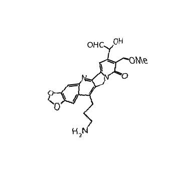 COCc1c(C(O)C=O)cc2n(c1=O)Cc1c-2nc2cc3c(cc2c1CCCN)OCO3